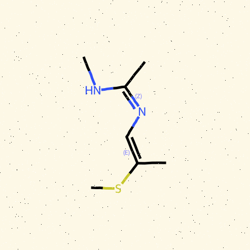 CN/C(C)=N\C=C(/C)SC